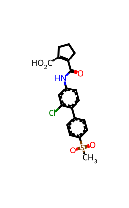 CS(=O)(=O)c1ccc(-c2ccc(NC(=O)C3=C(C(=O)O)CCC3)cc2Cl)cc1